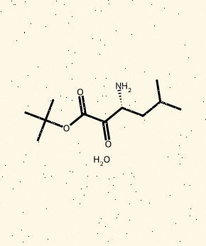 CC(C)C[C@@H](N)C(=O)C(=O)OC(C)(C)C.O